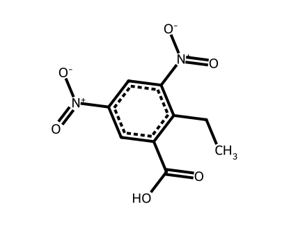 CCc1c(C(=O)O)cc([N+](=O)[O-])cc1[N+](=O)[O-]